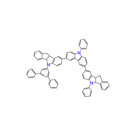 c1ccc(-c2cc(-c3ccccc3)cc(N3c4ccc(-c5ccc6c(c5)c5cc(-c7ccc8c(c7)C7Cc9ccccc9C7N8c7ccccc7)ccc5n6-c5ccccc5)cc4C4Cc5ccccc5C43)c2)cc1